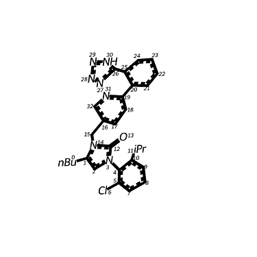 CCCCc1cn(-c2c(Cl)cccc2C(C)C)c(=O)n1Cc1ccc(-c2ccccc2-c2nnn[nH]2)nc1